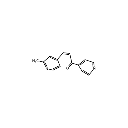 Cc1cc(/C=C\C(=O)c2ccncc2)ccn1